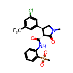 CN1C[C@H](c2cc(Cl)cc(C(F)(F)F)c2)[C@@H](C(=O)Nc2ccccc2S(C)(=O)=O)C1=O